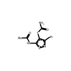 CCC(C)C(=O)Nc1snc(C(C)C)c1SC(N)=O